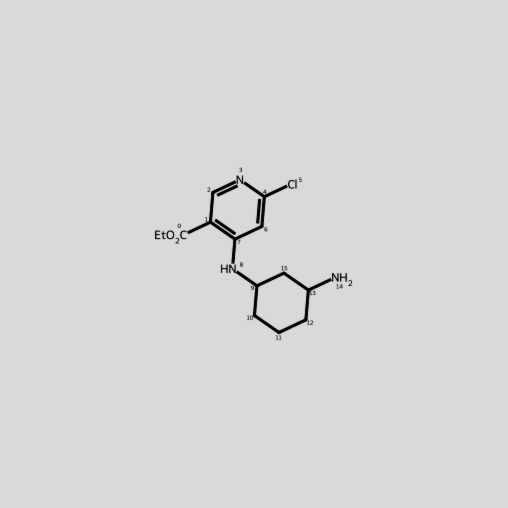 CCOC(=O)c1cnc(Cl)cc1NC1CCCC(N)C1